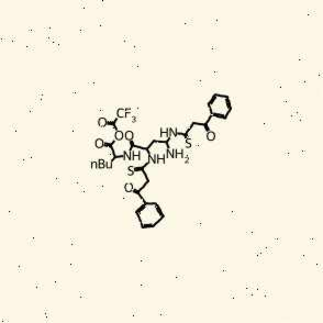 CCCCC(NC(=O)C(CC(N)NC(=S)CC(=O)c1ccccc1)NC(=S)CC(=O)c1ccccc1)C(=O)OC(=O)C(F)(F)F